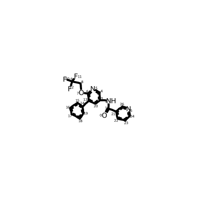 O=C(Nc1cnc(OCC(F)(F)F)c(-c2ccccc2)c1)c1cccnc1